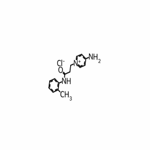 Cc1ccccc1NC(=O)CC[n+]1ccc(N)cc1.[Cl-]